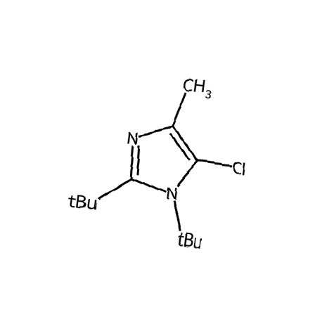 Cc1nc(C(C)(C)C)n(C(C)(C)C)c1Cl